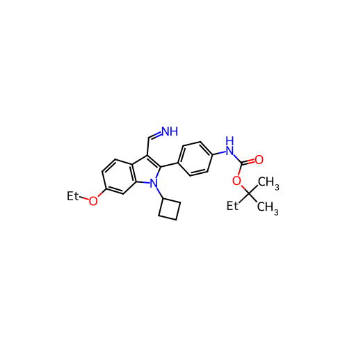 CCOc1ccc2c(C=N)c(-c3ccc(NC(=O)OC(C)(C)CC)cc3)n(C3CCC3)c2c1